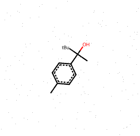 Cc1ccc(C(C)(O)C(C)(C)C)cc1